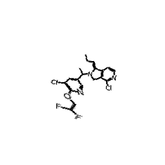 CC/C=C1/c2ccnc(Cl)c2CN1C(C)c1cnc(OCC(F)F)c(Cl)c1